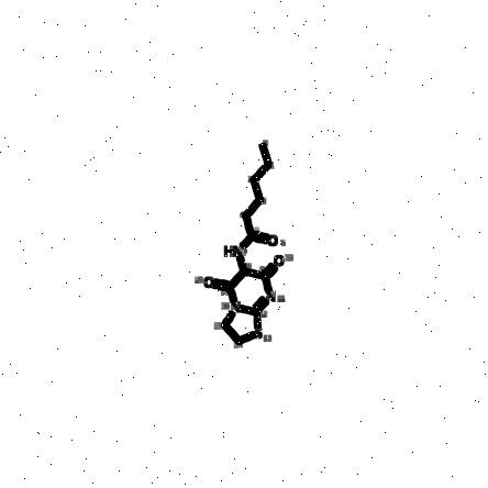 CCCCCC(=O)NC1C(=O)N=C2SCCN2C1=O